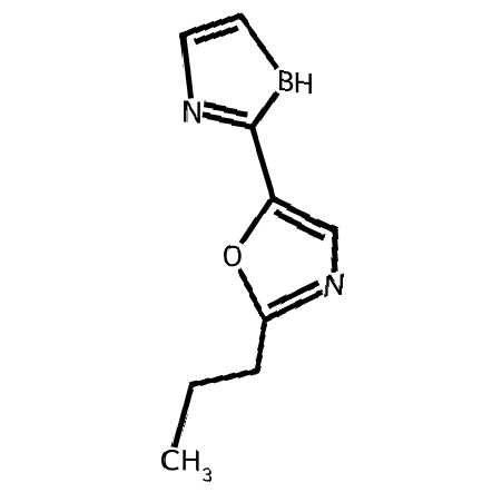 CCCc1ncc(C2=NC=CB2)o1